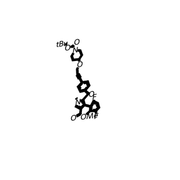 COC(=O)c1cn(C)c(C(=O)c2ccc(C#CCOC3CCN(C(=O)OC(C)(C)C)CC3)cc2)c1-c1c(F)ccc(F)c1C